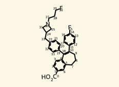 O=C(O)c1ccc2c(c1)CCCC(c1ccc(F)cc1)=C2c1ccc(CC2CN(CCCF)C2)cc1